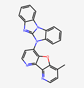 Cc1ccnc2c1oc1c(-n3c4ccccc4n4c5ccccc5nc34)ccnc12